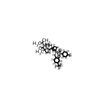 CC(C)NC(=O)[C@@]1(C)CN=C([C@H]2CC3(N(Cc4ccc(C(F)(F)F)cc4)S(=O)(=O)c4ccc(F)cc4)CC2C3)N1